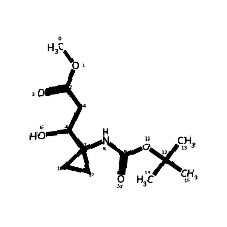 COC(=O)CC(O)C1(NC(=O)OC(C)(C)C)CC1